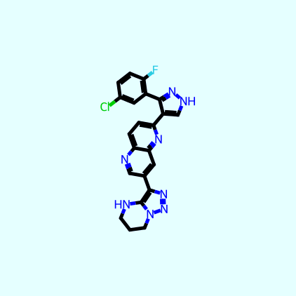 Fc1ccc(Cl)cc1-c1n[nH]cc1-c1ccc2ncc(-c3nnn4c3NCCC4)cc2n1